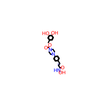 O=C(/C=C/c1ccc(N2CCN(C(=O)OCc3ccc(O)c(O)c3)CC2)cc1)NO